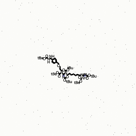 CC(C)(C)OC(=O)/N=C(/NCCCCCCCN(C(=O)OC(C)(C)C)/C(=N\C(=O)OC(C)(C)C)N(CCCOCc1ccc(C(=N)NC(=O)OC(C)(C)C)cc1)C(=O)OC(C)(C)C)NC(=O)OC(C)(C)C